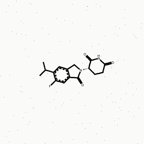 CC(C)c1cc2c(cc1F)C(=O)N([C@H]1CCC(=O)NC1=O)C2